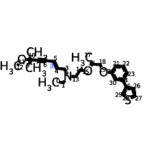 CCN(C/C=C/C#CC(C)(C)OC)CCOC(C)COc1cccc(-c2ccsc2)c1